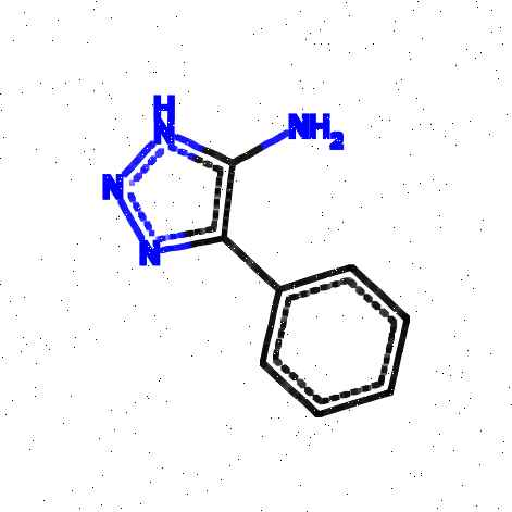 Nc1[nH]nnc1-c1ccccc1